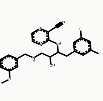 COc1cccc(CNCC(O)C(Cc2cc(F)cc(F)c2)Nc2nccnc2C#N)c1